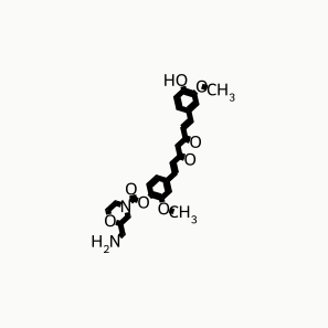 COc1cc(C=CC(=O)CC(=O)C=Cc2ccc(OC(=O)N3CCOC(CN)C3)c(OC)c2)ccc1O